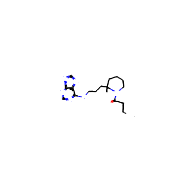 CCN(CCCC1(C)CCCCN1C(=O)CCC#N)c1ncnc2[nH]cnc12